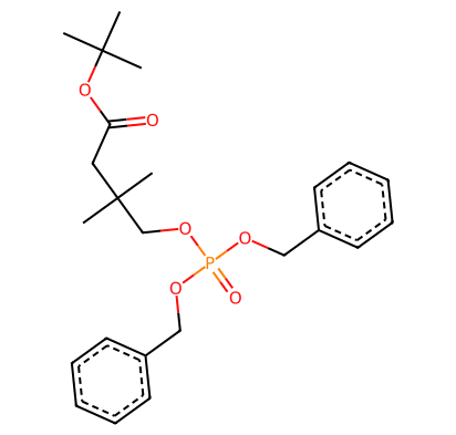 CC(C)(COP(=O)(OCc1ccccc1)OCc1ccccc1)CC(=O)OC(C)(C)C